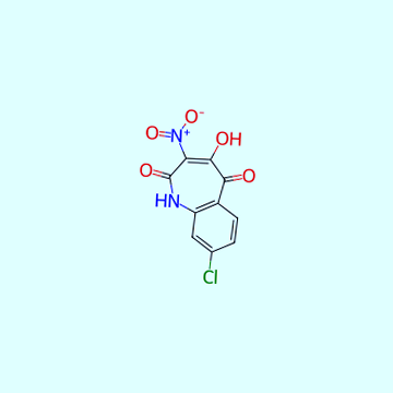 O=c1[nH]c2cc(Cl)ccc2c(=O)c(O)c1[N+](=O)[O-]